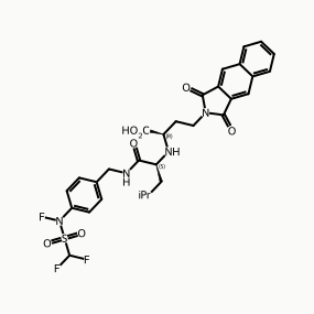 CC(C)C[C@H](N[C@H](CCN1C(=O)c2cc3ccccc3cc2C1=O)C(=O)O)C(=O)NCc1ccc(N(F)S(=O)(=O)C(F)F)cc1